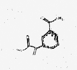 CC(=O)c1cccc(NC([NH])=O)c1